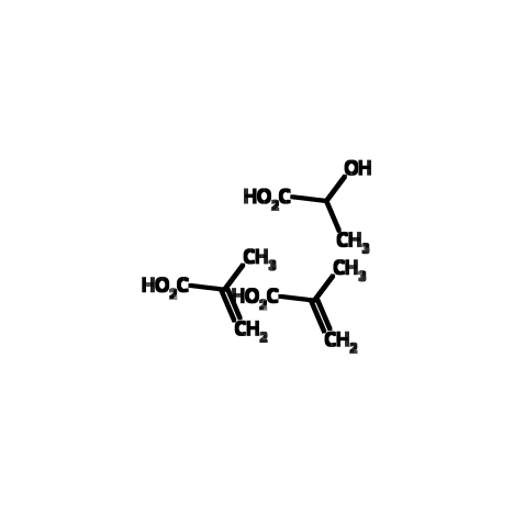 C=C(C)C(=O)O.C=C(C)C(=O)O.CC(O)C(=O)O